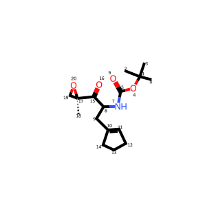 CC(C)(C)OC(=O)NC(CC1=CCCC1)C(=O)[C@@]1(C)CO1